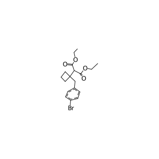 CCOC(=O)C(C(=O)OCC)C1(Cc2ccc(Br)cc2)CCC1